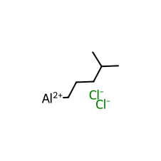 CC(C)CC[CH2][Al+2].[Cl-].[Cl-]